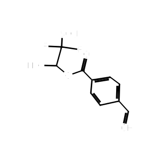 C=Cc1ccc(C(=O)OC(C)C(F)(F)S(=O)(=O)O)cc1